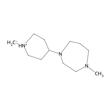 [CH2-][NH+]1CCC(N2CCCN(C)CC2)CC1